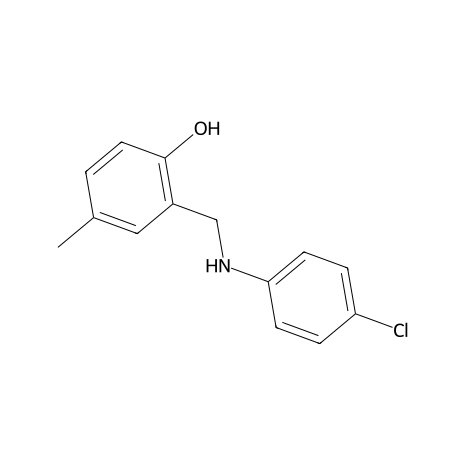 Cc1ccc(O)c(CNc2ccc(Cl)cc2)c1